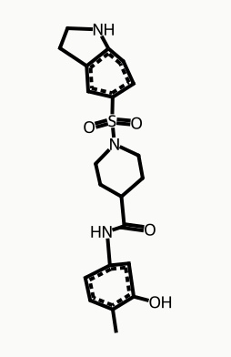 Cc1ccc(NC(=O)C2CCN(S(=O)(=O)c3ccc4c(c3)CCN4)CC2)cc1O